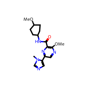 COc1ncc(-c2cncn2C)nc1C(=O)NC1CCC(OC)CC1